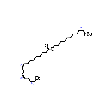 CC/C=C\C/C=C\C/C=C\CCCCCCCC(=O)OCCCCCCCC/C=C\CCCC